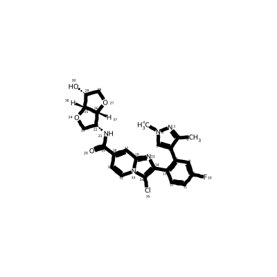 Cc1nn(C)cc1-c1cc(F)ccc1-c1nc2cc(C(=O)N[C@@H]3CO[C@H]4[C@@H]3OC[C@H]4O)ccn2c1Cl